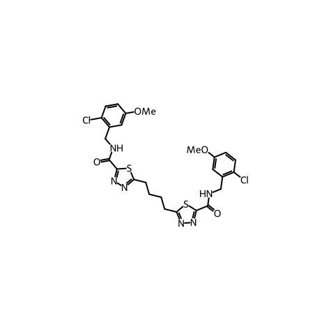 COc1ccc(Cl)c(CNC(=O)c2nnc(CCCCc3nnc(C(=O)NCc4cc(OC)ccc4Cl)s3)s2)c1